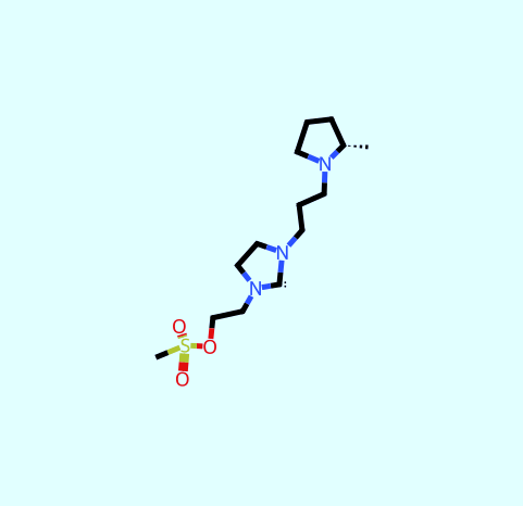 C[C@H]1CCCN1CCCN1[C]N(CCOS(C)(=O)=O)CC1